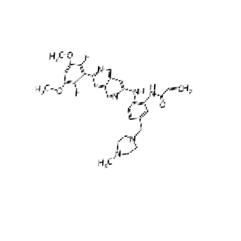 C=CC(=O)Nc1cc(CN2CCN(C)CC2)ccc1Nc1cc2cnc(-c3c(F)c(OC)cc(OC)c3F)cc2cn1